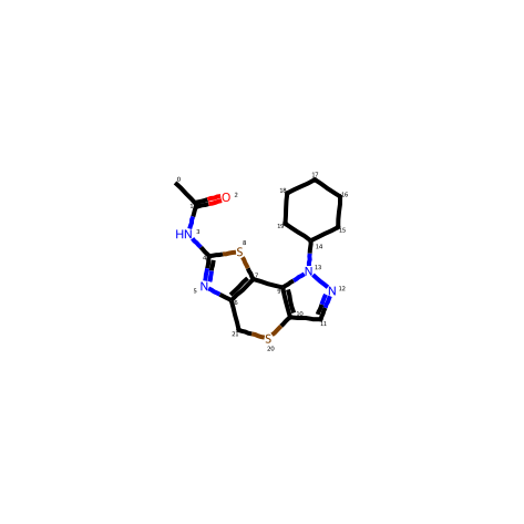 CC(=O)Nc1nc2c(s1)-c1c(cnn1C1CCCCC1)SC2